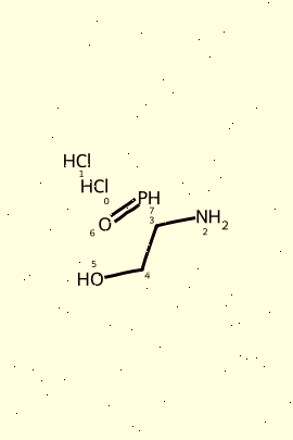 Cl.Cl.NCCO.O=P